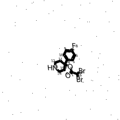 O=C(OC1(c2ccc(F)cc2)CCNCC1)C(Br)Br